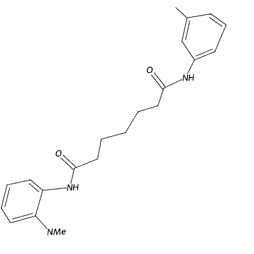 CNc1ccccc1NC(=O)CCCCCC(=O)Nc1cccc(C)c1